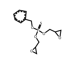 S=P(OCc1ccccc1)(OCC1CO1)OCC1CO1